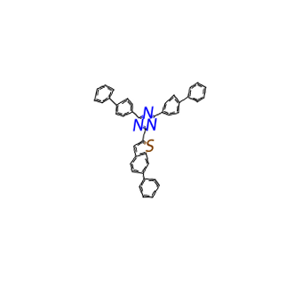 c1ccc(-c2ccc(-c3nc(-c4ccc(-c5ccccc5)cc4)nc(-c4cc5ccc(-c6ccccc6)cc5s4)n3)cc2)cc1